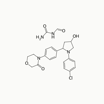 NC(=O)NC=O.O=C1COCCN1c1ccc(C2CC(O)CN2c2ccc(Cl)cc2)cc1